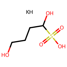 O=S(=O)(O)C(O)CCCO.[KH]